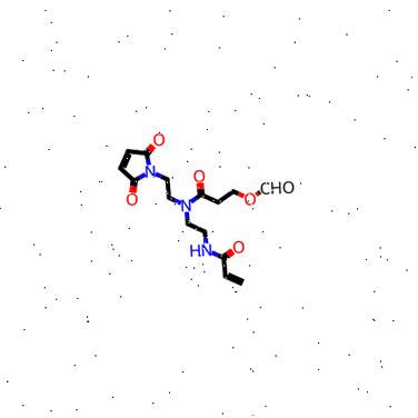 C=CC(=O)NCCN(CCN1C(=O)C=CC1=O)C(=O)CCOC=O